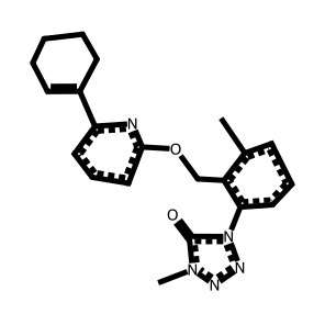 Cc1cccc(-n2nnn(C)c2=O)c1COc1cccc(C2=CCCCC2)n1